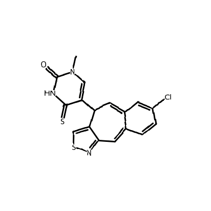 Cn1cc(C2C=c3cc(Cl)ccc3=Cc3nscc32)c(=S)[nH]c1=O